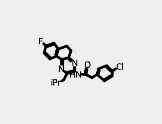 CC(C)Cc1nc2c(nc1NC(=O)Cc1ccc(Cl)cc1)CCc1cc(F)ccc1-2